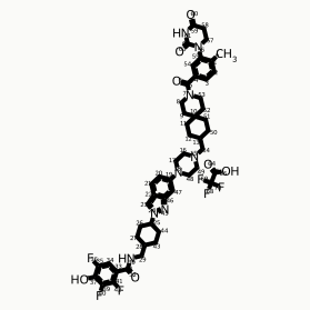 Cc1ccc(C(=O)N2CCC3(CCC(CN4CCN(c5ccc6cn(C7CCC(CNC(=O)c8cc(F)c(O)c(F)c8F)CC7)nc6c5)CC4)CC3)CC2)cc1N1CCC(=O)NC1=O.O=C(O)C(F)(F)F